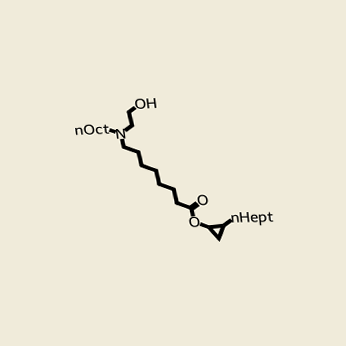 CCCCCCCCN(CCO)CCCCCCCC(=O)OC1CC1CCCCCCC